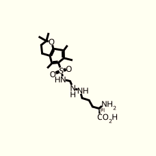 Cc1c(C)c(S(=O)(=O)NCNNCCC[C@@H](N)C(=O)O)c(C)c2c1OC(C)(C)CC2